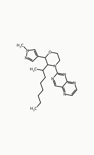 CCCCCCC(C)C1C(c2cnn(C)c2)OCCN1c1ncc2nccnc2n1